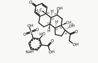 C[C@]12C=CC(=O)C=C1CC[C@@H]1[C@@H]2[C@@H](O)C[C@@]2(C)[C@H]1CC[C@]2(O)C(=O)CO.O=C(O)c1cccc(S(=O)(=O)O)c1O.[NaH]